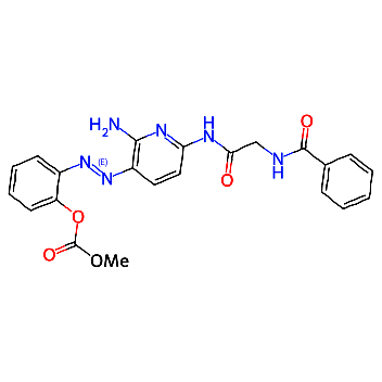 COC(=O)Oc1ccccc1/N=N/c1ccc(NC(=O)CNC(=O)c2ccccc2)nc1N